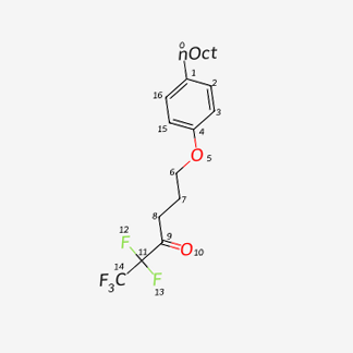 CCCCCCCCc1ccc(OCCCC(=O)C(F)(F)C(F)(F)F)cc1